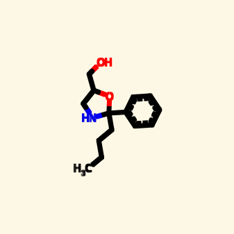 CCCCC1(c2ccccc2)NCC(CO)O1